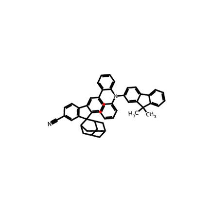 CC1(C)c2ccccc2-c2ccc(N(c3ccccc3)c3ccccc3-c3ccc4c(c3)-c3ccc(C#N)cc3C43C4CC5CC(C4)CC3C5)cc21